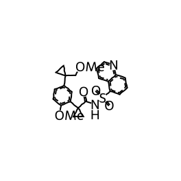 COCC1(c2ccc(OC)c(C3(C(=O)NS(=O)(=O)c4cccc5ncccc45)CC3)c2)CC1